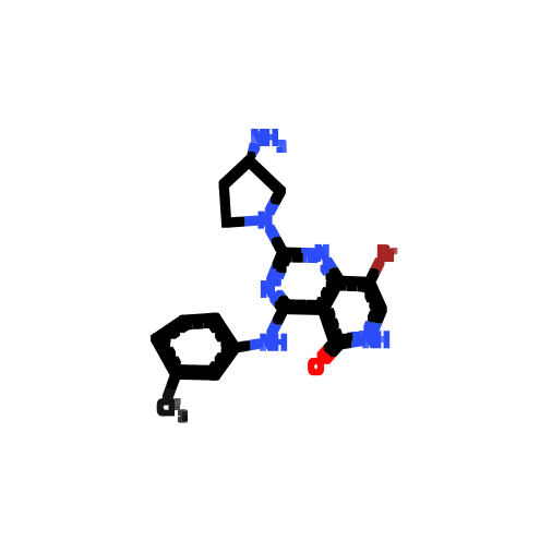 N[C@@H]1CCN(c2nc(Nc3cccc(C(F)(F)F)c3)c3c(=O)[nH]cc(Br)c3n2)C1